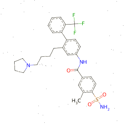 Cc1cc(C(=O)Nc2ccc(-c3ccccc3C(F)(F)F)c(CCCCN3CCCC3)c2)ccc1S(N)(=O)=O